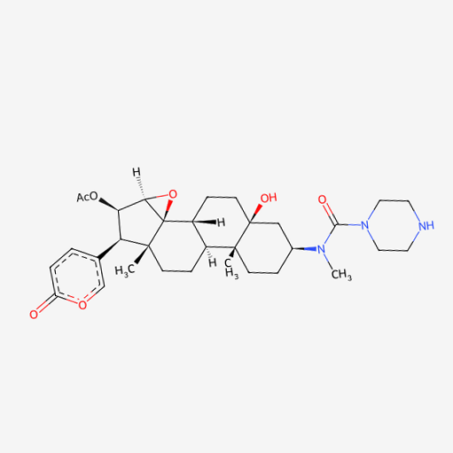 CC(=O)O[C@H]1[C@H]2O[C@]23[C@@H]2CC[C@]4(O)C[C@@H](N(C)C(=O)N5CCNCC5)CC[C@]4(C)[C@H]2CC[C@]3(C)[C@H]1c1ccc(=O)oc1